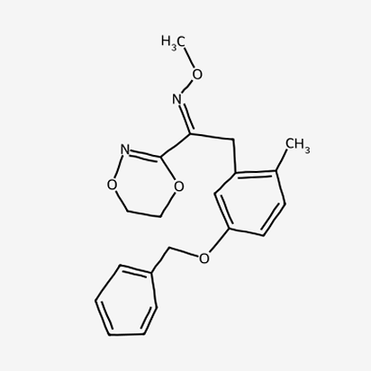 CO/N=C(\Cc1cc(OCc2ccccc2)ccc1C)C1=NOCCO1